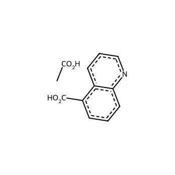 CC(=O)O.O=C(O)c1cccc2ncccc12